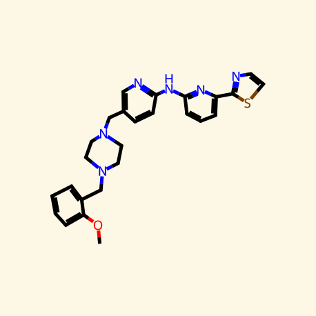 COc1ccccc1CN1CCN(Cc2ccc(Nc3cccc(-c4nccs4)n3)nc2)CC1